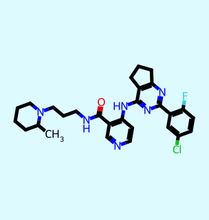 CC1CCCCN1CCCNC(=O)c1cnccc1Nc1nc(-c2cc(Cl)ccc2F)nc2c1CCC2